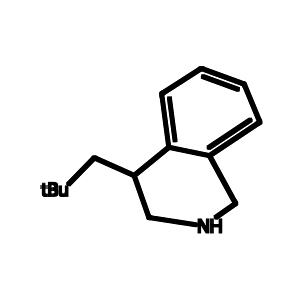 CC(C)(C)CC1CNCc2ccccc21